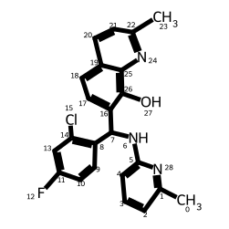 Cc1cccc(NC(c2ccc(F)cc2Cl)c2ccc3ccc(C)nc3c2O)n1